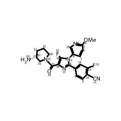 COc1ccc(-n2c(-c3ccc(C#N)c(F)c3)nc(C(=O)N3CCC[C@@H](N)C3)c2F)cn1